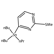 CCC[CH2][Sn]([CH2]CC)([CH2]CCC)[c]1ccnc(SC)n1